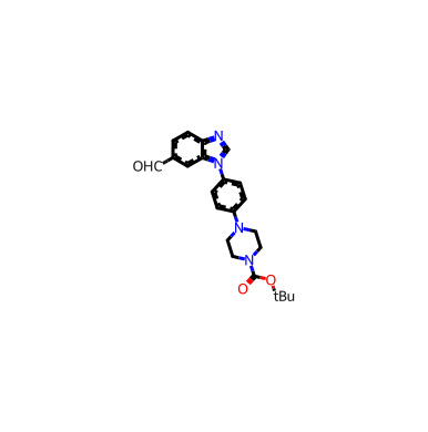 CC(C)(C)OC(=O)N1CCN(c2ccc(-n3cnc4ccc(C=O)cc43)cc2)CC1